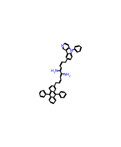 NC(=C\C=C/Cc1ccc2c(-c3ccccc3)c3ccccc3c(-c3ccccc3)c2c1)/C(N)=C/C=C\Cc1ccc2c(c1)c1cnccc1n2-c1ccccc1